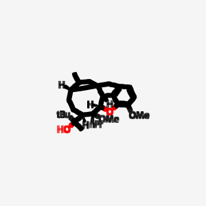 CCC[C@]1(OC)[C@@H]2Oc3c(OC)ccc4c3[C@H]2CCC(C)[C@@H](CC[C@@H]1C(C)(O)C(C)(C)C)C4